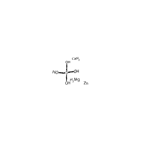 [CaH2].[MgH2].[OH][Ti]([OH])([OH])[OH].[Zn]